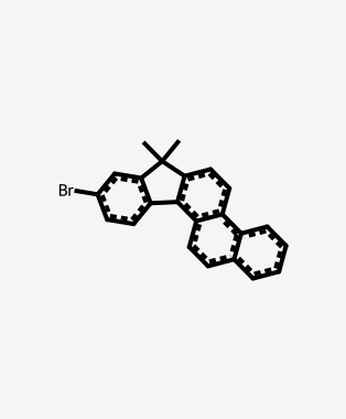 CC1(C)c2cc(Br)ccc2-c2c1ccc1c2ccc2ccccc21